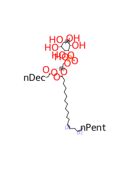 CCCCC/C=C\C/C=C\CCCCCCCCCCCC(=O)O[C@H](COC(=O)CCCCCCCCCCC)COP(=O)(O)OC1C(O)C(O)C(O)[C@@H](O)C1O